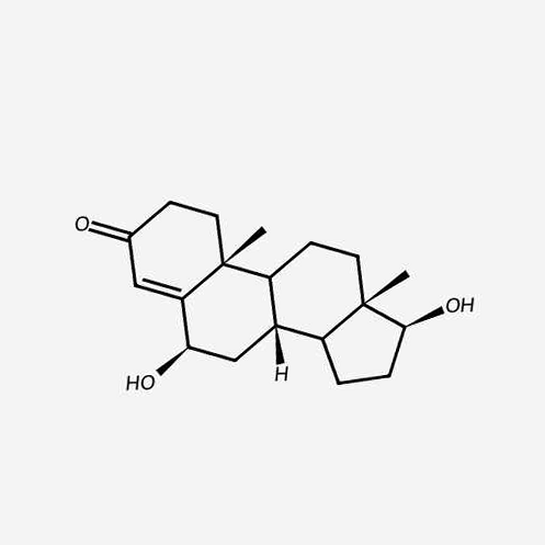 C[C@]12CCC(=O)C=C1[C@H](O)C[C@@H]1C2CC[C@@]2(C)C1CC[C@@H]2O